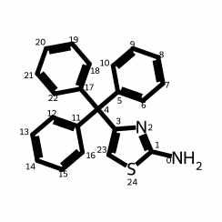 Nc1nc(C(c2ccccc2)(c2ccccc2)c2ccccc2)cs1